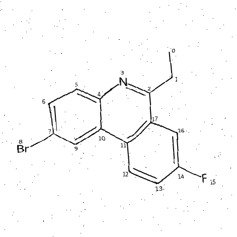 CCc1nc2ccc(Br)cc2c2ccc(F)cc12